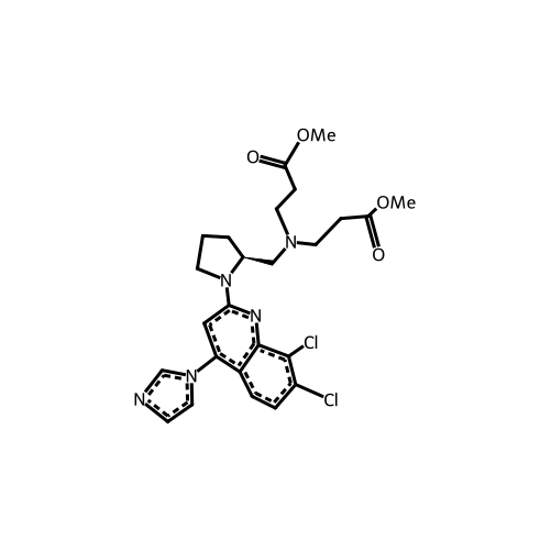 COC(=O)CCN(CCC(=O)OC)C[C@@H]1CCCN1c1cc(-n2ccnc2)c2ccc(Cl)c(Cl)c2n1